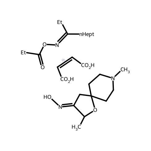 CC1OC2(CCN(C)CC2)CC1=NO.CCCCCCCC(CC)=NOC(=O)CC.O=C(O)/C=C\C(=O)O